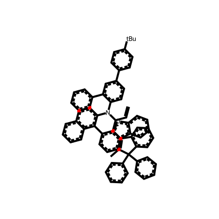 C=C/C(=C\C1=C(C)C(c2ccccc2)(c2ccccc2)c2ccccc21)N(c1ccc(-c2ccc(C(C)(C)C)cc2)cc1-c1ccccc1)c1ccc2ccccc2c1-c1cccc2c1oc1ccccc12